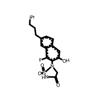 CC(C)CCCc1ccc2cc(O)c(N3CC(=O)NS3(=O)=O)c(F)c2c1